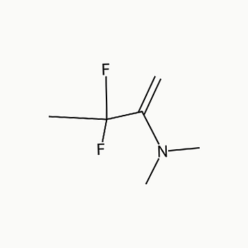 C=C(N(C)C)C(C)(F)F